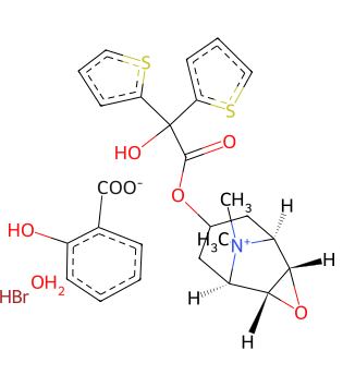 Br.C[N+]1(C)[C@@H]2CC(OC(=O)C(O)(c3cccs3)c3cccs3)C[C@H]1[C@@H]1O[C@@H]12.O.O=C([O-])c1ccccc1O